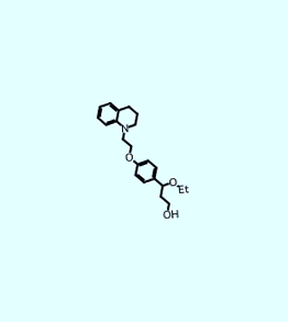 CCOC(CCO)c1ccc(OCCN2CCCc3ccccc32)cc1